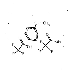 COc1ccccc1.O=C(O)C(F)(F)F.O=C(O)C(F)(F)F